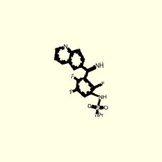 CCCS(=O)(=O)Nc1cc(F)c(F)c(C(=N)c2ccc3ncccc3c2)c1F